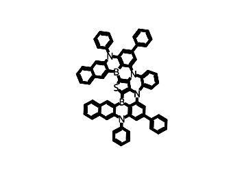 c1ccc(-c2cc3c4c(c2)N2c5ccccc5N5c6cc(-c7ccccc7)cc7c6B(c6cc8ccccc8cc6N7c6ccccc6)c6sc(c2c65)B4c2cc4ccccc4cc2N3c2ccccc2)cc1